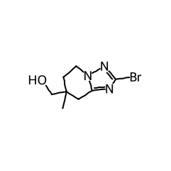 CC1(CO)CCn2nc(Br)nc2C1